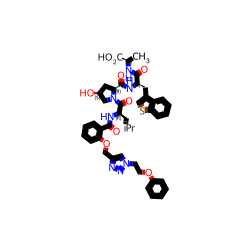 CC(C)C[C@@H](NC(=O)c1ccccc1OCc1cn(CCOc2ccccc2)nn1)C(=O)N1C[C@@H](O)C[C@@H]1C(=O)N[C@@H](Cc1csc2ccccc12)C(=O)N[C@@H](C)C(=O)O